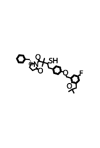 CC1(C)Cc2cc(F)cc(COc3ccc(CC(S)C(C)(C)C(=O)N4C(=O)CC[C@@H]4Cc4ccccc4)cc3)c2O1